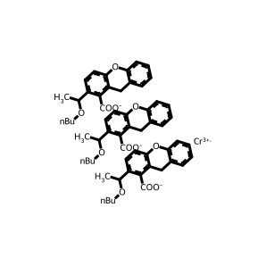 CCCCOC(C)c1ccc2c(c1C(=O)[O-])Cc1ccccc1O2.CCCCOC(C)c1ccc2c(c1C(=O)[O-])Cc1ccccc1O2.CCCCOC(C)c1ccc2c(c1C(=O)[O-])Cc1ccccc1O2.[Cr+3]